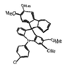 COc1cc2c(cc1OC)C1(c3ccccc3-2)c2ccccc2N(c2ccc(Cl)cc2)c2cc(OC)c(OC)cc21